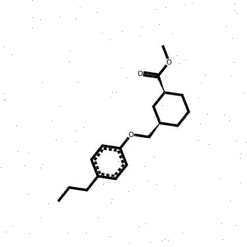 CCCc1ccc(OC[C@@H]2CCC[C@H](C(=O)OC)C2)cc1